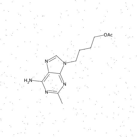 CC(=O)OCCCCn1cnc2c(N)nc(C)nc21